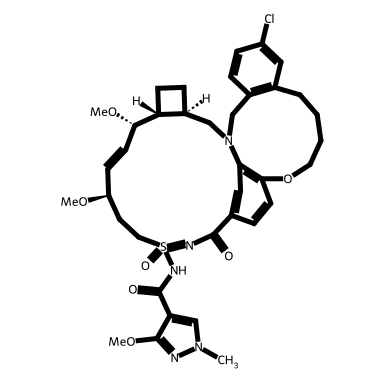 COc1nn(C)cc1C(=O)NS1(=O)=NC(=O)c2ccc3c(c2)N(Cc2ccc(Cl)cc2CCCCO3)C[C@@H]2CC[C@H]2[C@@H](OC)/C=C/[C@H](OC)CC1